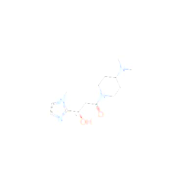 CN(C)C1CCN(C(=O)C[C@@H](O)c2nccn2C)CC1